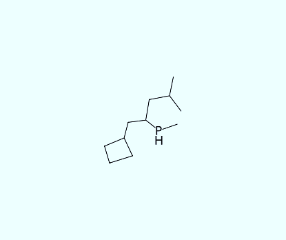 CPC(CC(C)C)CC1CCC1